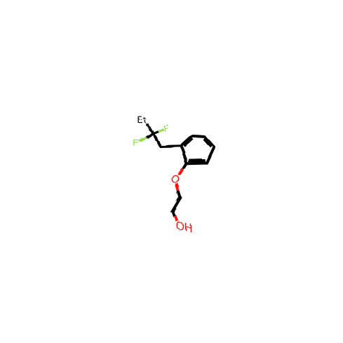 CCC(F)(F)Cc1ccccc1OCCO